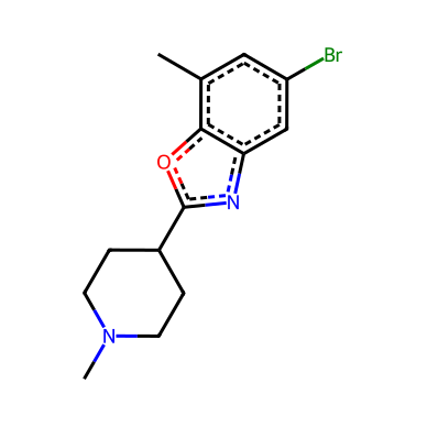 Cc1cc(Br)cc2nc(C3CCN(C)CC3)oc12